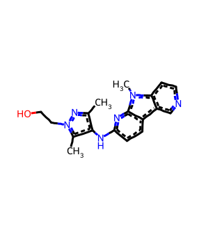 Cc1nn(CCO)c(C)c1Nc1ccc2c3cnccc3n(C)c2n1